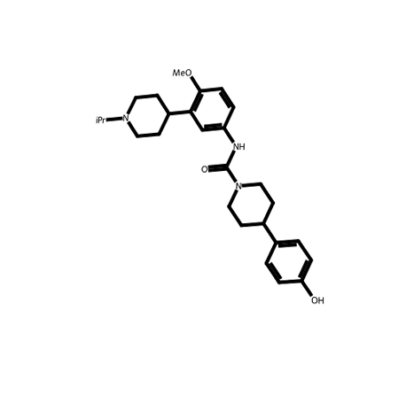 COc1ccc(NC(=O)N2CCC(c3ccc(O)cc3)CC2)cc1C1CCN(C(C)C)CC1